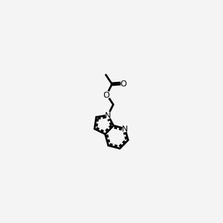 CC(=O)OCn1ccc2cccnc21